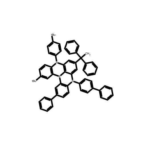 CC(C)(C)c1ccc(N2c3ccc(C(C)(C)C)cc3B3c4cc(-c5ccccc5)ccc4N(c4ccc(-c5ccccc5)cc4)c4cc(C(C)(c5ccccc5)c5ccccc5)cc2c43)cc1